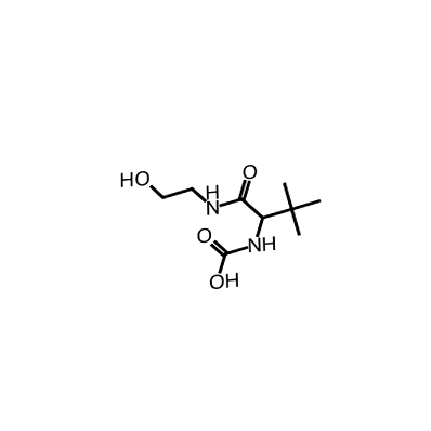 CC(C)(C)C(NC(=O)O)C(=O)NCCO